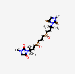 CCN1CC(=O)N(C(C)(C)CC[S+]([O-])CCC[S+]([O-])CCC(C)(C)N2C(=S)CN(CC)C2=S)C1=O